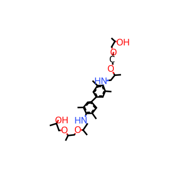 Cc1cc(-c2cc(C)c(NCC(C)OCC(C)OCC(C)O)c(C)c2)cc(C)c1NCC(C)OCCOCC(C)O